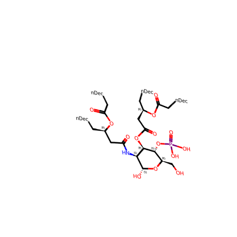 CCCCCCCCCCCC(=O)O[C@H](CCCCCCCCCCC)CC(=O)N[C@H]1[C@@H](OC(=O)C[C@@H](CCCCCCCCCCC)OC(=O)CCCCCCCCCCC)[C@H](OP(=O)(O)O)[C@@H](CO)O[C@@H]1O